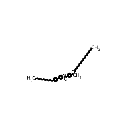 CCCCCCCCCCCCCCCCCCCOC(C)c1ccc(C(=O)Oc2ccc(-c3ccc(CCCCCCCCCCCC)cc3)cc2)cc1